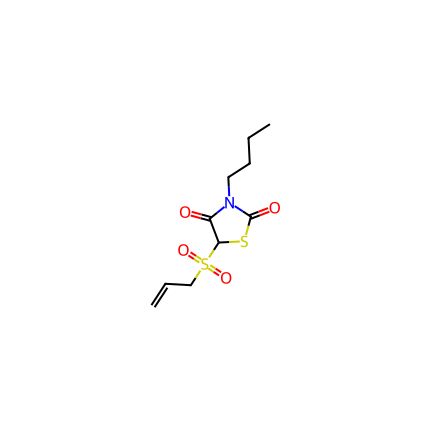 C=CCS(=O)(=O)C1SC(=O)N(CCCC)C1=O